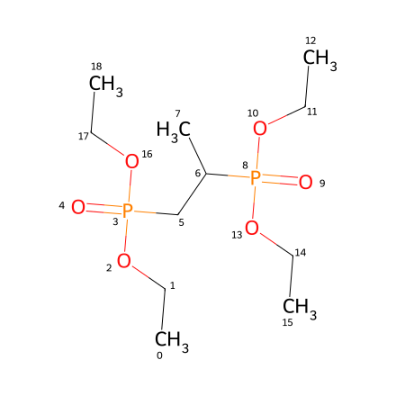 CCOP(=O)(CC(C)P(=O)(OCC)OCC)OCC